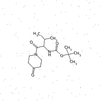 CC(C)C(NC(=O)OC(C)(C)C)C(=O)N1CCC(=O)CC1